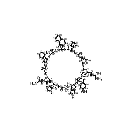 CC[C@@H]1NC(=O)[C@H](Cc2ccccc2)NC(=O)CSC[C@@H](C(=O)NCC(N)=O)NC(=O)[C@H](Cc2cncn2C)NC(=O)[C@H](CC)NC(=O)[C@H](Cc2c[nH]cn2)NC(=O)[C@H](Cc2ccc(O)cc2)N(C)C(=O)[C@H](CCCNC(=N)N)NC(=O)[C@H](CO)NC(=O)CNC(=O)[C@H](Cc2c[nH]cn2)NC(=O)[C@H](Cc2cccc3ccccc23)NC1=O